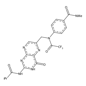 CNC(=O)c1ccc(N(Cc2cnc3nc(NC(=O)C(C)C)[nH]c(=O)c3n2)C(=O)C(F)(F)F)cc1